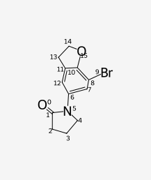 O=C1CCCN1c1cc(Br)c2c(c1)CCO2